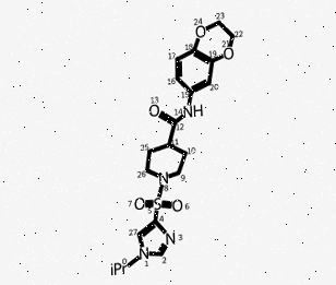 CC(C)n1cnc(S(=O)(=O)N2CCC(C(=O)Nc3ccc4c(c3)OCCO4)CC2)c1